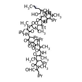 C/C=C/C[C@@H](C)C(O)[C@@H](C(=O)N[C@@H](CC)C(=O)N(C)CC(=O)N(C)[C@@H](CC(C)C)C(=O)NC(C(=O)N(C)[C@@H](CC(C)C)C(=O)N[C@@H](C)C(=O)N[C@H](C)C(=O)N(C)[C@@H](CC(C)C)C(=O)N(C)[C@H](C=O)CC(C)C)C(C)C)N(C)C(=O)[C@H](C(C)C)N(C)C